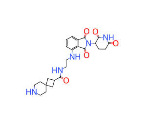 O=C1CCC(N2C(=O)c3cccc(NCCNC(=O)C4CC5(CCNCC5)C4)c3C2=O)C(=O)N1